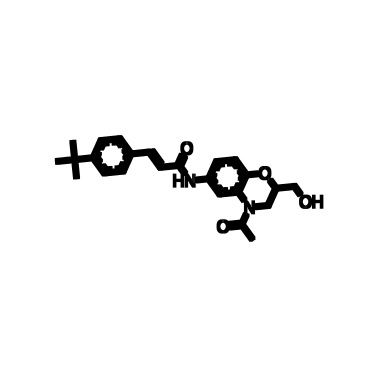 CC(=O)N1CC(CO)Oc2ccc(NC(=O)/C=C/c3ccc(C(C)(C)C)cc3)cc21